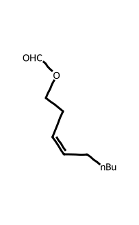 CCCCC/C=C\CCOC=O